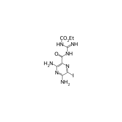 CCOC(=O)NC(=N)NC(=O)c1nc(I)c(N)nc1N